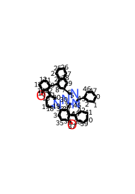 c1ccc(-c2nc(-c3cc(-c4cccc5oc6ccncc6c45)c4ccccc4c3)nc(-c3cccc4oc5ccccc5c34)n2)cc1